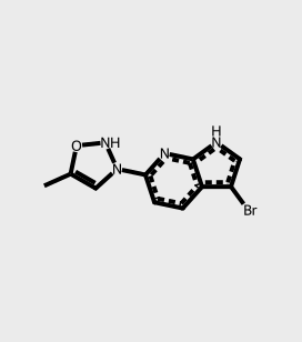 CC1=CN(c2ccc3c(Br)c[nH]c3n2)NO1